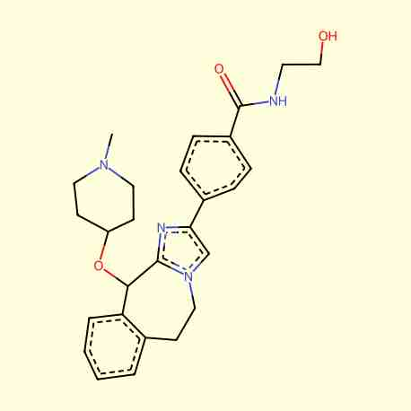 CN1CCC(OC2c3ccccc3CCn3cc(-c4ccc(C(=O)NCCO)cc4)nc32)CC1